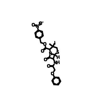 CC1(I)CS[C@@H]2C(NC(=O)COc3ccccc3)C(=O)N2C1C(=O)OCc1ccc([N+](=O)[O-])cc1